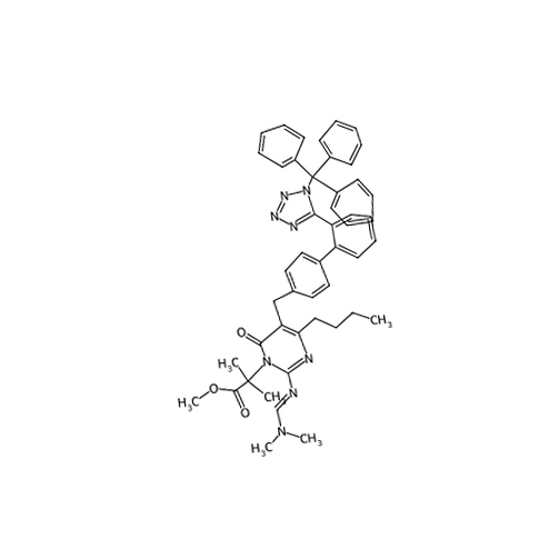 CCCCc1nc(N=CN(C)C)n(C(C)(C)C(=O)OC)c(=O)c1Cc1ccc(-c2ccccc2-c2nnnn2C(c2ccccc2)(c2ccccc2)c2ccccc2)cc1